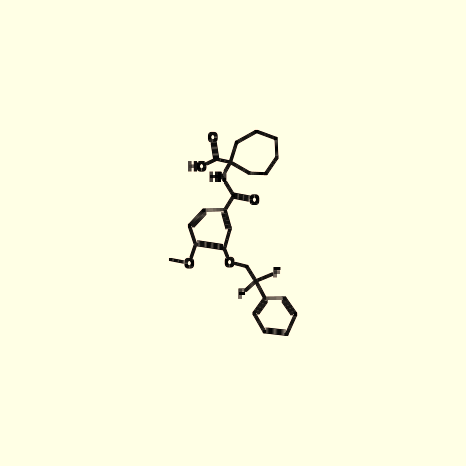 COc1ccc(C(=O)NC2(C(=O)O)CCCCCC2)cc1OCC(F)(F)c1ccccc1